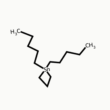 CCCC[CH2][Sn]1([CH2]CCCC)[CH2]C[CH2]1